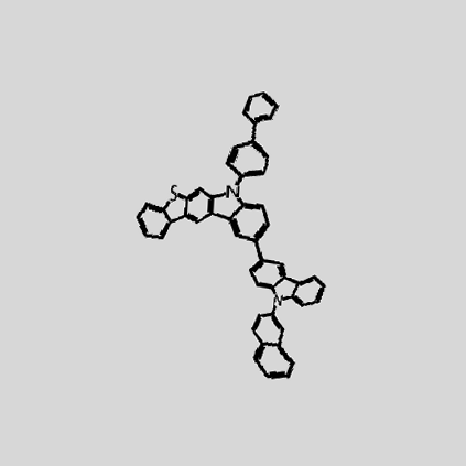 c1ccc(-c2ccc(-n3c4ccc(-c5ccc6c(c5)c5ccccc5n6-c5ccc6ccccc6c5)cc4c4cc5c(cc43)sc3ccccc35)cc2)cc1